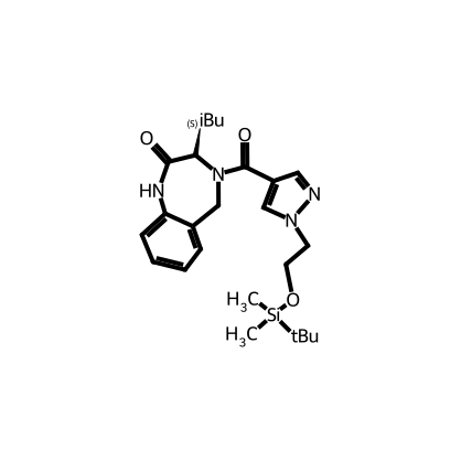 CC[C@H](C)C1C(=O)Nc2ccccc2CN1C(=O)c1cnn(CCO[Si](C)(C)C(C)(C)C)c1